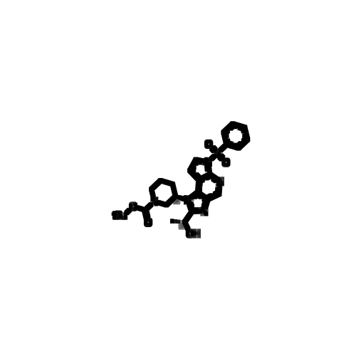 C[C@@H](O)c1nc2cnc3c(ccn3S(=O)(=O)c3ccccc3)c2n1[C@@H]1CCCN(C(=O)OC(C)(C)C)C1